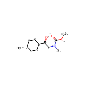 CCN(CC(=O)[C@H]1CC[C@H](C)CC1)C(=O)OC(C)(C)C